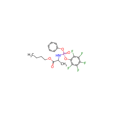 CCCCOC(=O)C(C)NP(=O)(Oc1ccccc1)Oc1c(F)c(F)c(F)c(F)c1F